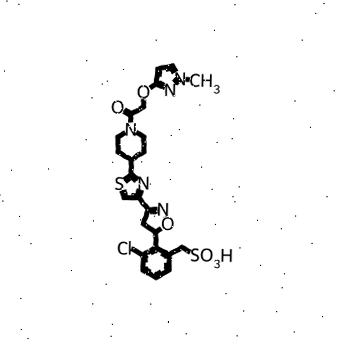 Cn1ccc(OCC(=O)N2CCC(c3nc(C4=NOC(c5c(Cl)cccc5CS(=O)(=O)O)C4)cs3)CC2)n1